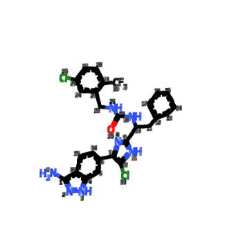 Nc1n[nH]c2cc(-c3nc(C(Cc4ccccc4)NC(=O)NCc4cc(Cl)ccc4C(F)(F)F)[nH]c3Cl)ccc12